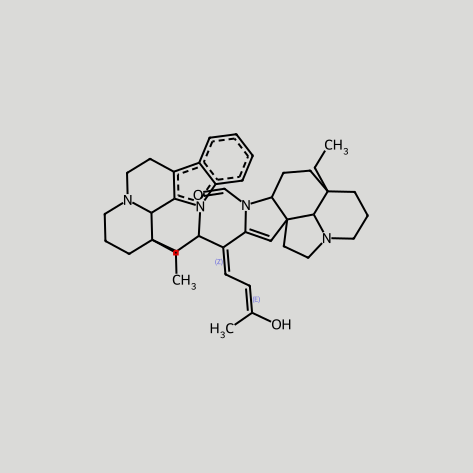 CCC12CCCN3CCc4c(n(c5ccccc45)C(/C(=C/C=C(\C)O)C4=CC56CCN7CCCC(CC)(CCC5N4C=O)C76)C1)C32